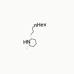 CCCCCCCCC[C@@H]1CCC[C@H](C)N1